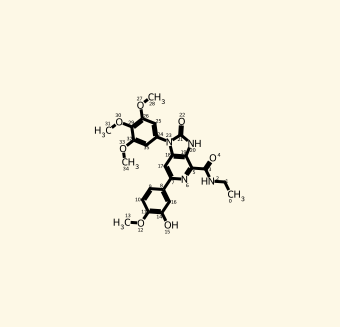 CCNC(=O)c1nc(-c2ccc(OC)c(O)c2)cc2c1[nH]c(=O)n2-c1cc(OC)c(OC)c(OC)c1